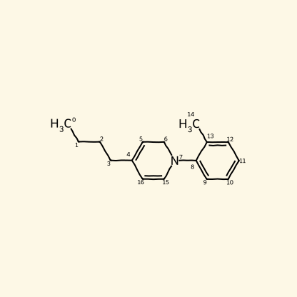 CCCCC1=CCN(c2ccccc2C)C=C1